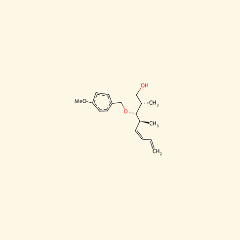 C=C/C=C\[C@H](C)[C@H](OCc1ccc(OC)cc1)[C@@H](C)CO